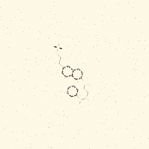 CN(c1ccccc1)N(C=O)CCOc1ccc2cc(CCNS(C)(=O)=O)ccc2c1